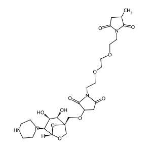 CC1CC(=O)N(CCOCCOCCN2C(=O)CC(OC[C@@]34CO[C@@H](O3)[C@@H](N3CCNCC3)[C@@H](O)[C@H]4O)C2=O)C1=O